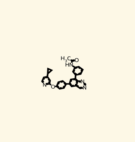 CC(=O)Nc1cccc(-c2cc(-c3ccc(Oc4cc(C5CC5)ccn4)cc3)cc3cncnc23)c1